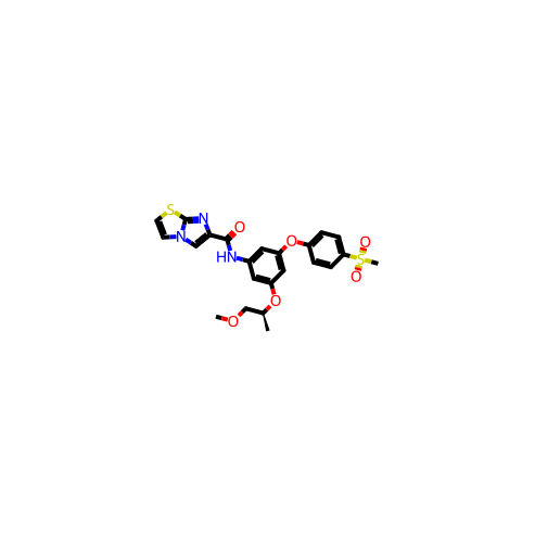 COC[C@H](C)Oc1cc(NC(=O)c2cn3ccsc3n2)cc(Oc2ccc(S(C)(=O)=O)cc2)c1